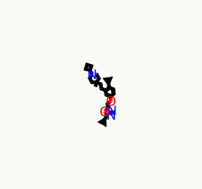 CC1(CCc2cc(OCc3nnc(C4CC4)o3)ccc2C2CC2)CCN(C2CCC2)CC1